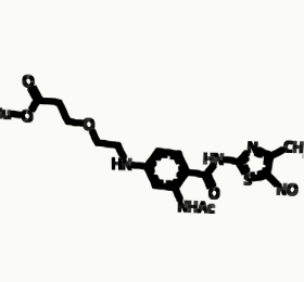 CC(=O)Nc1cc(NCCOCCC(=O)OC(C)(C)C)ccc1C(=O)Nc1nc(C)c(N=O)s1